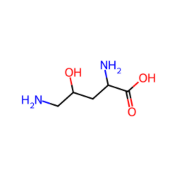 NCC(O)CC(N)C(=O)O